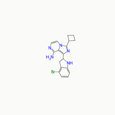 Nc1nccn2c(C3CCC3)nc(C3Cc4c(Br)cccc4N3)c12